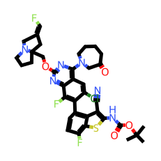 CC(C)(C)OC(=O)Nc1sc2c(F)ccc(-c3c(Cl)cc4c(N5CCCCC(=O)C5)nc(OCC56CCCN5C/C(=C\F)C6)nc4c3F)c2c1C#N